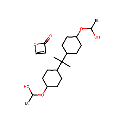 CCC(O)OC1CCC(C(C)(C)C2CCC(OC(O)CC)CC2)CC1.O=C1C=CO1